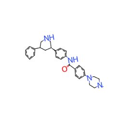 CN1CCN(c2ccc(C(=O)Nc3ccc([C@@H]4CNCC(c5ccccc5)C4)cc3)cc2)CC1